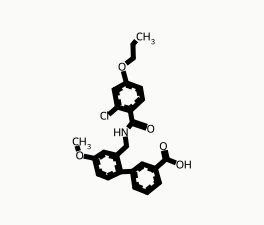 CCCOc1ccc(C(=O)NCc2cc(OC)ccc2-c2cccc(C(=O)O)c2)c(Cl)c1